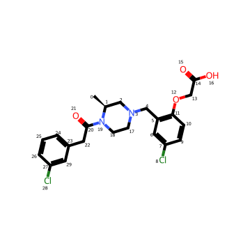 C[C@H]1CN(Cc2cc(Cl)ccc2OCC(=O)O)CCN1C(=O)Cc1cccc(Cl)c1